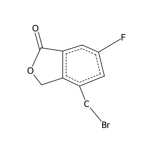 O=C1OCc2c(CBr)cc(F)cc21